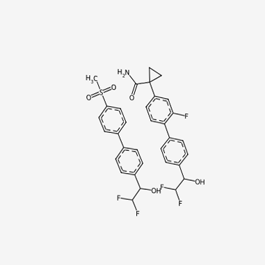 CS(=O)(=O)c1ccc(-c2ccc(C(O)C(F)F)cc2)cc1.NC(=O)C1(c2ccc(-c3ccc(C(O)C(F)F)cc3)c(F)c2)CC1